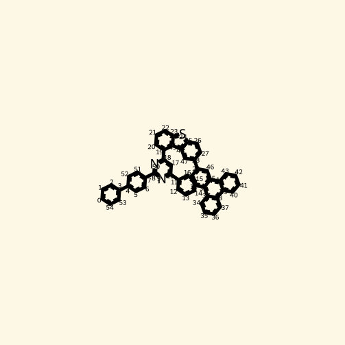 c1ccc(-c2ccc(-c3nc(-c4ccccc4)cc(-c4cccc5sc6ccc(-c7ccc8c9ccccc9c9ccccc9c8c7)cc6c45)n3)cc2)cc1